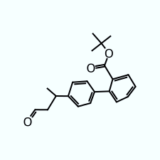 CC(CC=O)c1ccc(-c2ccccc2C(=O)OC(C)(C)C)cc1